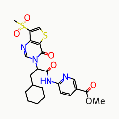 COC(=O)c1ccc(NC(=O)C(CC2CCCCC2)n2cnc3c(S(C)(=O)=O)csc3c2=O)nc1